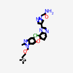 Cc1nc2ccc(Oc3ccc4ncc(-c5cnn(CC(N)=O)c5)nc4c3Cl)cc2n1COCC[Si](C)(C)C